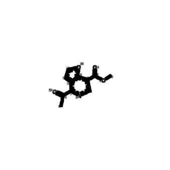 COC(=O)c1cnc(C(C)=O)c2ccoc12